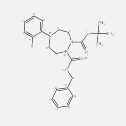 CC(C)(C)OC(=O)N1CCN(c2ccccc2F)CCN1C(=O)OCc1ccccc1